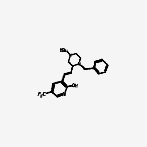 CC(C)(C)N1CCN(Cc2ccccc2)C(C=Cc2cc(C(F)(F)F)cnc2O)C1